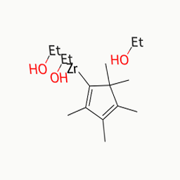 CC1=C(C)C(C)(C)[C]([Zr])=C1C.CCO.CCO.CCO